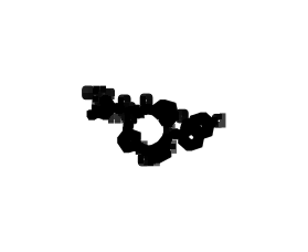 COc1nn(C)cc1C(=O)N[S@@]1(=O)=NC(=O)c2ccc3c(c2)N(C[C@@H]2CC[C@H]2[C@@H](O)[C@H]2C=CC(C)(C2)C1)C[C@@]1(CCCc2cc(Cl)ccc21)CO3